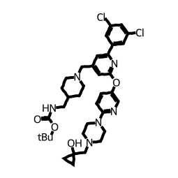 CC(C)(C)OC(=O)NCC1CCN(Cc2cc(Oc3ccc(N4CCN(CC5(O)CC5)CC4)nc3)nc(-c3cc(Cl)cc(Cl)c3)c2)CC1